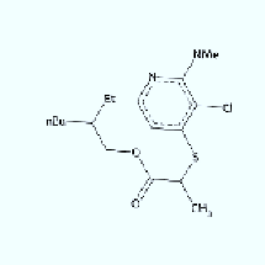 CCCCC(CC)COC(=O)C(C)Sc1ccnc(NC)c1Cl